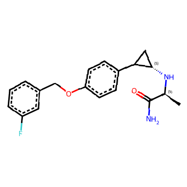 C[C@H](N[C@H]1CC1c1ccc(OCc2cccc(F)c2)cc1)C(N)=O